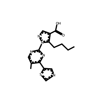 CCCCc1c(C(=O)O)cnn1-c1ncc(C)c(-c2cncs2)n1